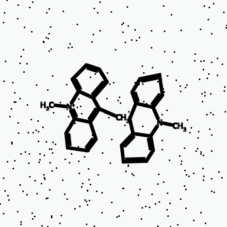 CN1c2ccccc2Cc2ccccc21.Cc1c2ccccc2[n+](C)c2ccccc12